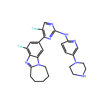 Fc1cnc(Nc2ccc(N3CCNCC3)cn2)nc1-c1cc(F)c2nc3n(c2c1)CCCCC3